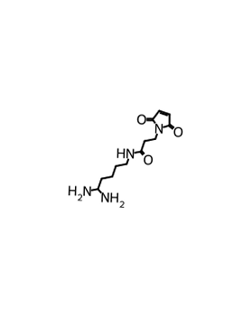 NC(N)CCCCNC(=O)CCN1C(=O)C=CC1=O